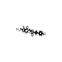 Bc1nc2ncn(Cc3nn([C@H]4C[C@H](c5ccc(Cl)cc5)C4)c(=O)o3)c(=O)c2n1C